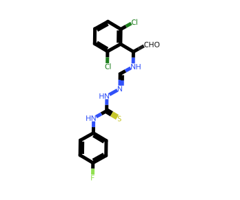 O=CC(NC=NNC(=S)Nc1ccc(F)cc1)c1c(Cl)cccc1Cl